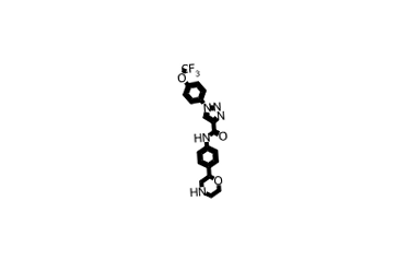 O=C(Nc1ccc(C2CNCCO2)cc1)c1cn(-c2ccc(OC(F)(F)F)cc2)nn1